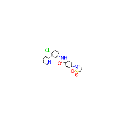 O=C(Nc1ccc(Cl)c(-c2ccccn2)c1)c1ccc(N2CCCS2(=O)=O)cc1